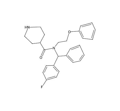 O=C(C1CCNCC1)N(CCOc1ccccc1)C(c1ccccc1)c1ccc(F)cc1